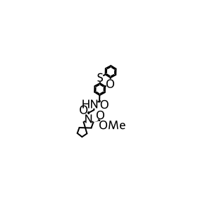 COC(=O)[C@@H]1CC2(CCCC2)CN1C(=O)CNC(=O)c1ccc2c(c1)Oc1ccccc1S2